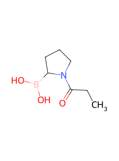 CCC(=O)N1CCCC1B(O)O